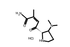 CC(=CC(=O)[C@H]1NCCC1N(C)C)C(N)=O.Cl